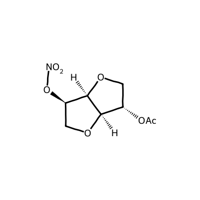 CC(=O)O[C@H]1CO[C@H]2[C@@H]1OC[C@H]2O[N+](=O)[O-]